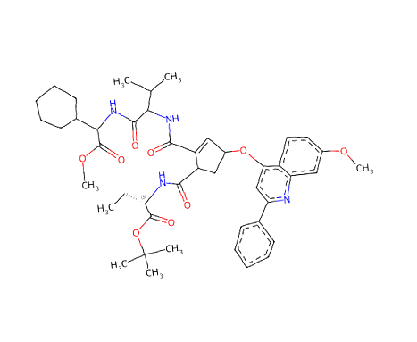 CC[C@H](NC(=O)C1CC(Oc2cc(-c3ccccc3)nc3cc(OC)ccc23)C=C1C(=O)NC(C(=O)NC(C(=O)OC)C1CCCCC1)C(C)C)C(=O)OC(C)(C)C